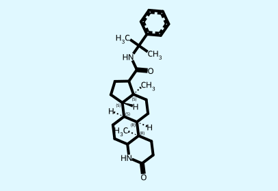 CC(C)(NC(=O)C1CC[C@H]2[C@@H]3CCC4NC(=O)CC[C@]4(C)[C@@H]3CC[C@]12C)c1ccccc1